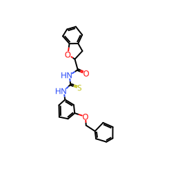 O=C(NC(=S)Nc1cccc(OCc2ccccc2)c1)C1Cc2ccccc2O1